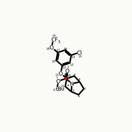 CC(C)(C)OC(=O)N1C2CCC1CC(Oc1cc(Cl)cc(OC(F)(F)F)c1)C2